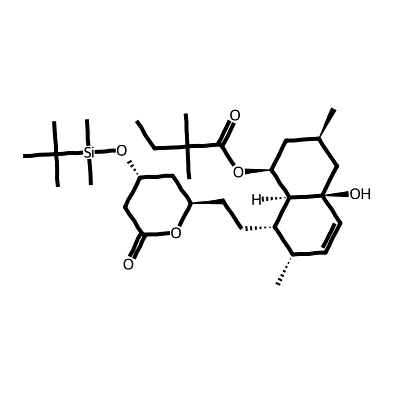 CCC(C)(C)C(=O)O[C@H]1C[C@@H](C)C[C@]2(O)C=C[C@H](C)[C@H](CC[C@@H]3C[C@@H](O[Si](C)(C)C(C)(C)C)CC(=O)O3)[C@@H]12